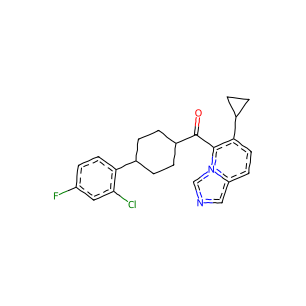 O=C(c1c(C2CC2)ccc2cncn12)C1CCC(c2ccc(F)cc2Cl)CC1